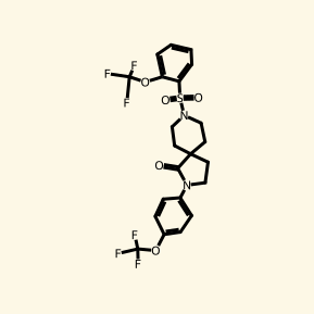 O=C1N(c2ccc(OC(F)(F)F)cc2)CCC12CCN(S(=O)(=O)c1ccccc1OC(F)(F)F)CC2